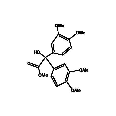 COC(=O)C(O)(c1ccc(OC)c(OC)c1)c1ccc(OC)c(OC)c1